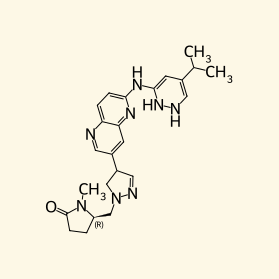 CC(C)C1=CNNC(Nc2ccc3ncc(C4C=NN(C[C@H]5CCC(=O)N5C)C4)cc3n2)=C1